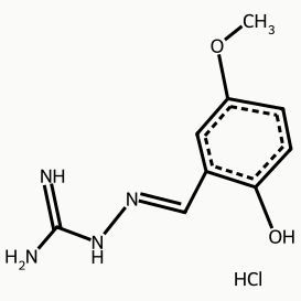 COc1ccc(O)c(C=NNC(=N)N)c1.Cl